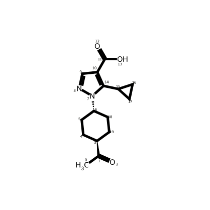 CC(=O)[C@H]1CC[C@H](n2ncc(C(=O)O)c2C2CC2)CC1